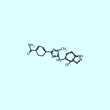 Cn1nc(C2=CC=C(C(N)=O)CC2)nc1Nc1ccc2[nH]ncc2c1Cl